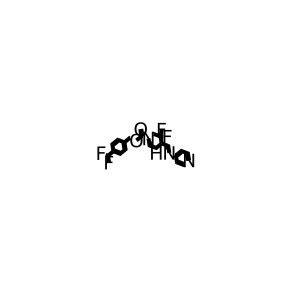 O=C(OCc1ccc(C(F)F)cc1)N1CCC(CNc2ccncc2)C(F)(F)C1